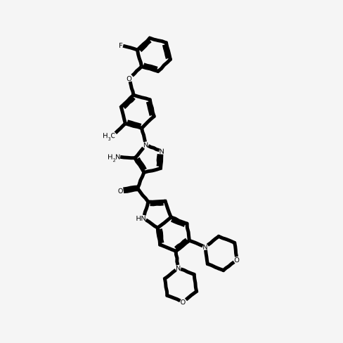 Cc1cc(Oc2ccccc2F)ccc1-n1ncc(C(=O)c2cc3cc(N4CCOCC4)c(N4CCOCC4)cc3[nH]2)c1N